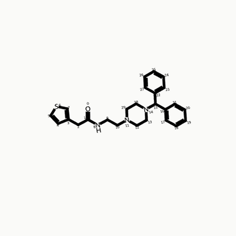 O=C(Cc1ccsc1)NCCN1CCN(C(c2ccccc2)c2ccccc2)CC1